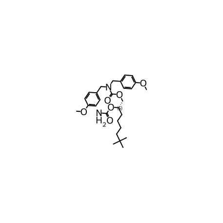 COc1ccc(CN(Cc2ccc(OC)cc2)C(=O)OC[C@H](CCCCC(C)(C)C)OC(N)=O)cc1